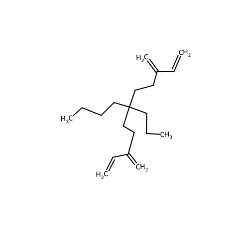 C=CC(=C)CCC(CCC)(CCCC)CCC(=C)C=C